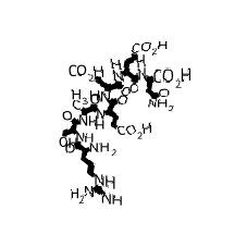 CC(NC(=O)C(CO)NC(=O)C(N)CCCNC(=N)N)C(=O)NC(CCC(=O)O)C(=O)NC(CC(=O)O)C(=O)NC(CCC(=O)O)C(=O)NC(CC(N)=O)C(=O)O